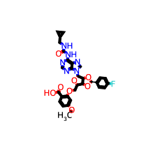 COc1ccc(C(=O)O)c(OCC2OC(n3cnc4c(NC(=O)NCC5CC5)ncnc43)C3O[C@@H](c4ccc(F)cc4)OC23)c1